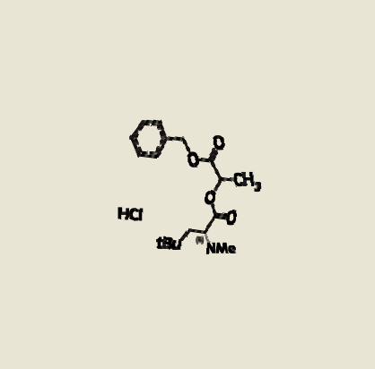 CN[C@H](CC(C)(C)C)C(=O)OC(C)C(=O)OCc1ccccc1.Cl